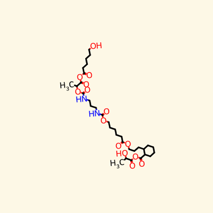 CC(O)C(=O)OC(=O)C1CCCCC1CCCOC(=O)CCCCCOC(=O)NCCCNC(=O)OC(C)C(=O)OC(=O)CCCCCO